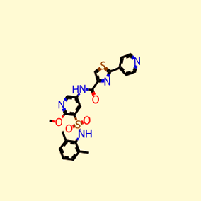 COc1ncc(NC(=O)c2csc(-c3ccncc3)n2)cc1S(=O)(=O)Nc1c(C)cccc1C